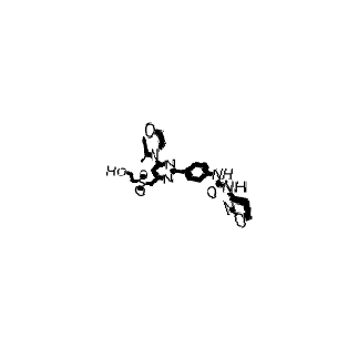 C[C@H]1COCCN1c1cc(CS(=O)(=O)CCO)nc(-c2ccc(NC(=O)Nc3ccon3)cc2)n1